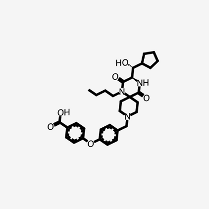 CCCCN1C(=O)[C@@H]([C@H](O)C2CCCC2)NC(=O)C12CCN(Cc1ccc(Oc3ccc(C(=O)O)cc3)cc1)CC2